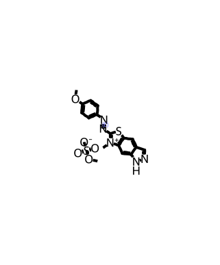 COS(=O)(=O)[O-].COc1ccc(/N=N/c2sc3cc4cn[nH]c4cc3[n+]2C)cc1